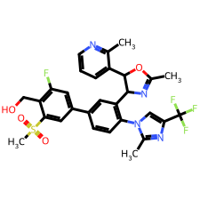 CC1=NC(c2cc(-c3cc(F)c(CO)c(S(C)(=O)=O)c3)ccc2-n2cc(C(F)(F)F)nc2C)C(c2cccnc2C)O1